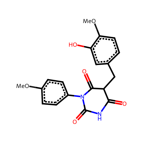 COc1ccc(N2C(=O)NC(=O)C(Cc3ccc(OC)c(O)c3)C2=O)cc1